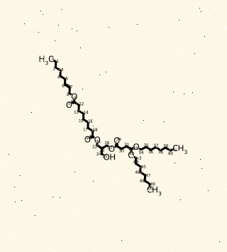 CCCCCCC=CCOC(=O)CCCCCCCC(=O)OCC(CO)COC(=O)CCC(OCCCCCCCC)OCCCCCCCC